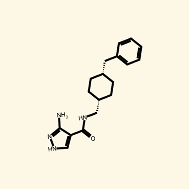 Nc1n[nH]cc1C(=O)NC[C@H]1CC[C@@H](Cc2ccccc2)CC1